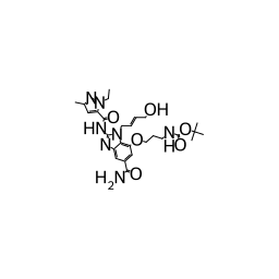 CCn1nc(C)cc1C(=O)Nc1nc2cc(C(N)=O)cc(OCCCNC(=O)OC(C)(C)C)c2n1C/C=C/CO